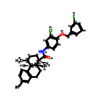 CC(C)c1ccc2c(c1)CC[C@@H]1[C@@H]2[C@@H](C)CC[C@@]1(C)C(=O)Nc1ccc(OCc2cccc(F)c2)c(Cl)c1